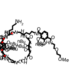 CCCCOc1c(C(=O)NCCC[C@H]2CN3CCNC(=O)c4ccc(c(OCCCC)c4OCCCC)C(=O)NCCN(CCNC(=O)c4ccc(c(OCCCC)c4OCCCC)C(=O)N[C@@H](CCCCN)C3)CCNC(=O)c3ccc(c(OCCCC)c3OCCCC)C(=O)N2)ccc(C(=O)NCCOCCOC)c1OCCCC